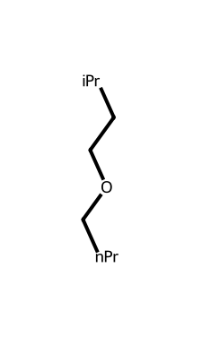 CCCCOCCC(C)C